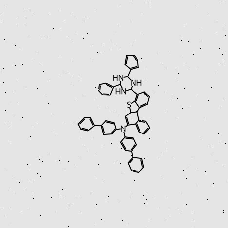 C1=C(N(c2ccc(-c3ccccc3)cc2)c2ccc(-c3ccccc3)cc2)c2ccccc2C2c3cccc(C4NC(c5ccccc5)NC(c5ccccc5)N4)c3SC12